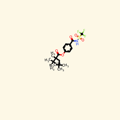 CC(C)(C)CC(C)(C(=O)Oc1ccc(C(=O)NS(=O)(=O)C(F)(F)F)cc1)C(C)(C)C